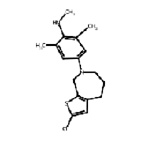 CNc1c(C)cc(N2CCCc3cc(Cl)sc3C2)cc1C